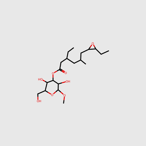 CCC(CC(=O)OC1C(O)C(CO)OC(OC)C1O)CC(C)CC1OC1CC